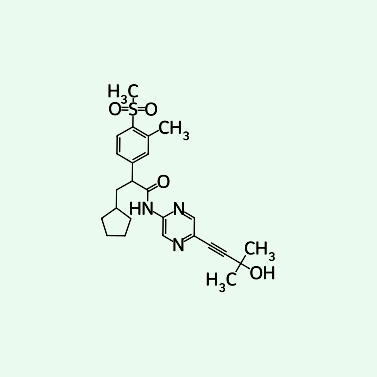 Cc1cc(C(CC2CCCC2)C(=O)Nc2cnc(C#CC(C)(C)O)cn2)ccc1S(C)(=O)=O